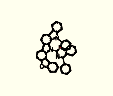 c1ccc(-c2nc(-n3c4c(ccc5oc6ccccc6c54)c4ccc5c6ccccc6n(-c6ccccc6)c5c43)nc3ccccc23)cc1